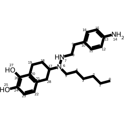 CCCCCCN(NCCc1ccc(N)cc1)C1CCc2c(ccc(O)c2O)C1